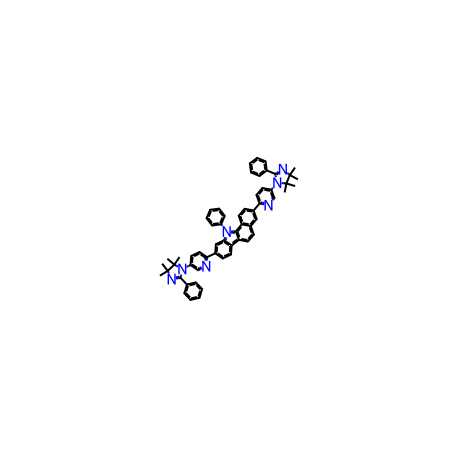 CC1(C)N=C(c2ccccc2)N(c2ccc(-c3ccc4c(ccc5c6ccc(-c7ccc(N8C(c9ccccc9)=NC(C)(C)C8(C)C)cn7)cc6n(-c6ccccc6)c45)c3)nc2)C1(C)C